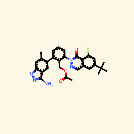 CC(=O)OCc1c(-c2cc3c(N)n[nH]c3cc2C)cccc1-n1ncc2cc(C(C)(C)C)cc(F)c2c1=O